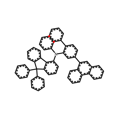 c1ccc(-c2ccc(-c3cc4ccccc4c4ccccc34)cc2N(c2ccccc2)c2cccc3c2-c2ccccc2C3(c2ccccc2)c2ccccc2)cc1